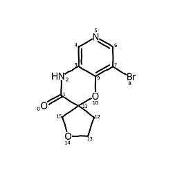 O=C1Nc2cncc(Br)c2OC12CCOC2